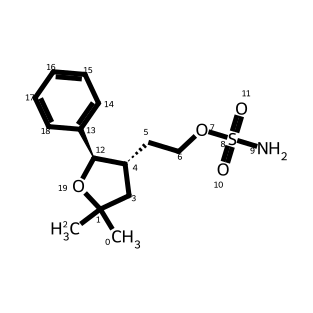 CC1(C)C[C@@H](CCOS(N)(=O)=O)[C@H](c2ccccc2)O1